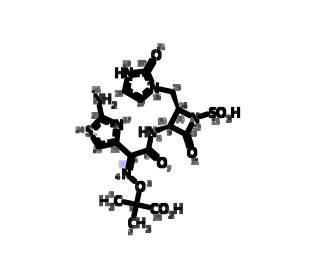 CC(C)(O/N=C(\C(=O)N[C@@H]1C(=O)N(S(=O)(=O)O)[C@@H]1Cn1cc[nH]c1=O)c1csc(N)n1)C(=O)O